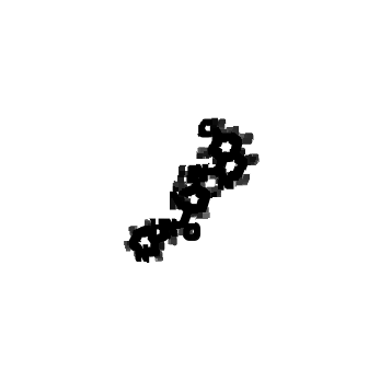 O=C(NCc1cccnc1)c1ccc(Nc2nccc3ccc(Cl)cc23)cn1